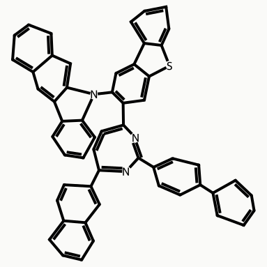 C1=CC(c2ccc3ccccc3c2)=NC(c2ccc(-c3ccccc3)cc2)=NC=1c1cc2sc3ccccc3c2cc1-n1c2ccccc2c2cc3ccccc3cc21